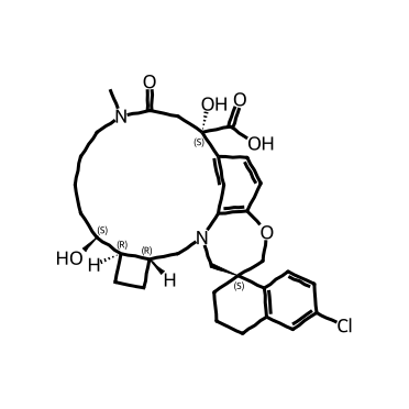 CN1CCCC[C@H](O)[C@@H]2CC[C@H]2CN2C[C@@]3(CCCc4cc(Cl)ccc43)COc3ccc(cc32)[C@](O)(C(=O)O)CC1=O